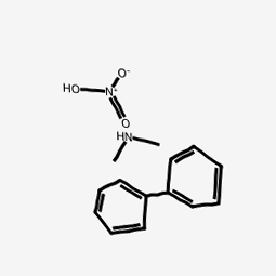 CNC.O=[N+]([O-])O.c1ccc(-c2ccccc2)cc1